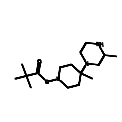 CC1CN(C2(C)CCN(OC(=O)C(C)(C)C)CC2)CCN1